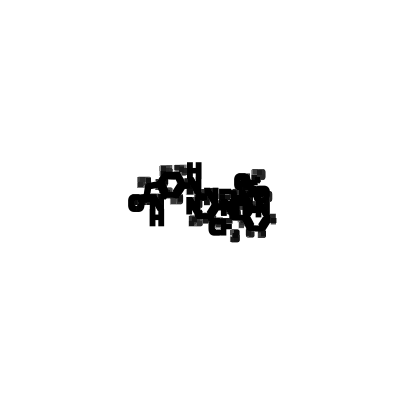 CCN(c1ncccc1CNc1nc(Nc2ccc3c(c2)NC(=O)C3)ncc1C(F)(F)F)S(C)(=O)=O